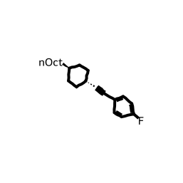 CCCCCCCC[C@H]1CC[C@H](C#Cc2ccc(F)cc2)CC1